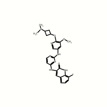 COc1cc(Nc2nccc(Nc3cc4cccc(F)c4[nH]c3=O)n2)cnc1OC1CC(N(C)C)C1